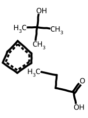 CC(C)(C)O.CCCC(=O)O.c1ccccc1